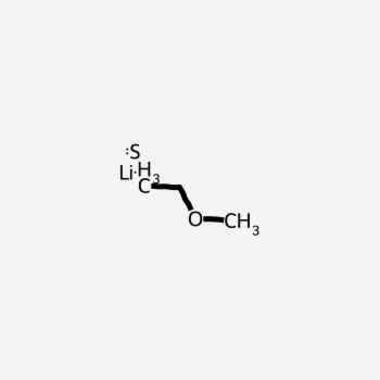 CCOC.[Li].[S]